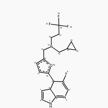 FC1=CN=C2NC=CC2C1c1ccc(CN(CCC(F)(F)F)CC2CC2)o1